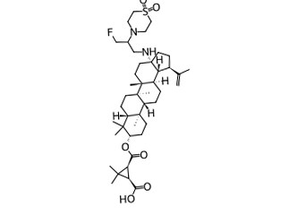 C=C(C)[C@@H]1CC[C@]2(NCC(CF)N3CCS(=O)(=O)CC3)CC[C@]3(C)[C@H](CC[C@@H]4[C@@]5(C)CC[C@H](OC(=O)[C@H]6[C@@H](C(=O)O)C6(C)C)C(C)(C)[C@@H]5CC[C@]43C)[C@@H]12